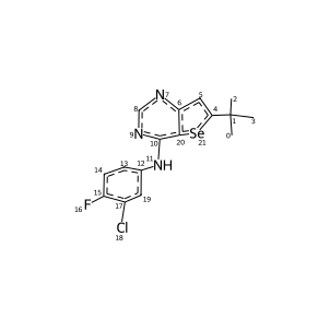 CC(C)(C)c1cc2ncnc(Nc3ccc(F)c(Cl)c3)c2[se]1